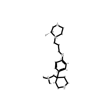 C[C@@H]1COCCN1CCCOc1ccc(C2(CN(C)C)CCOCC2)cc1